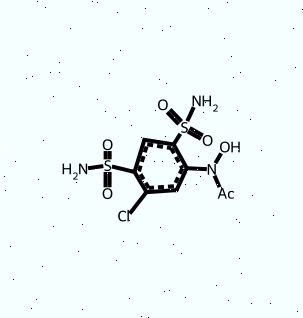 CC(=O)N(O)c1cc(Cl)c(S(N)(=O)=O)cc1S(N)(=O)=O